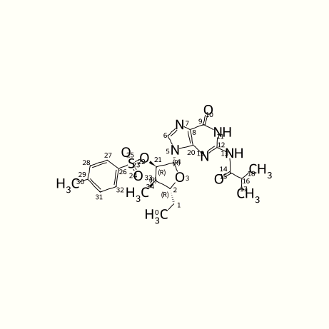 CC[C@H]1O[C@@H](n2cnc3c(=O)[nH]c(NC(=O)C(C)C)nc32)[C@H](OS(=O)(=O)c2ccc(C)cc2)[C@@H]1C